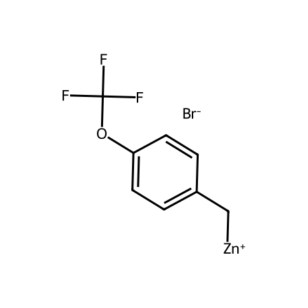 FC(F)(F)Oc1ccc([CH2][Zn+])cc1.[Br-]